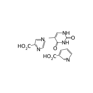 Cc1c[nH]c(=O)[nH]c1=O.O=C(O)c1cccnc1.O=C(O)c1cnccn1